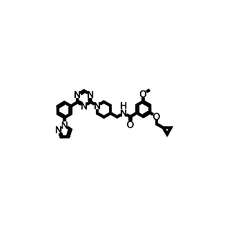 COc1cc(OCC2CC2)cc(C(=O)NCC2CCN(c3ncnc(-c4cccc(-n5cccn5)c4)n3)CC2)c1